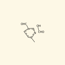 Cc1ccc(C=O)cn1.O=CO